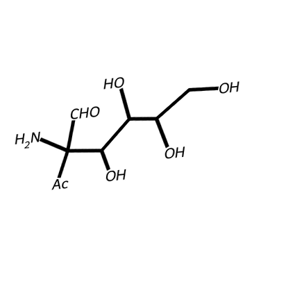 CC(=O)C(N)(C=O)C(O)C(O)C(O)CO